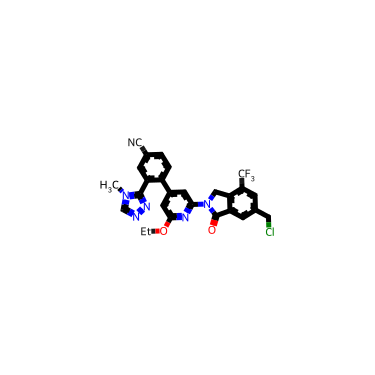 CCOc1cc(-c2ccc(C#N)cc2-c2nncn2C)cc(N2Cc3c(cc(CCl)cc3C(F)(F)F)C2=O)n1